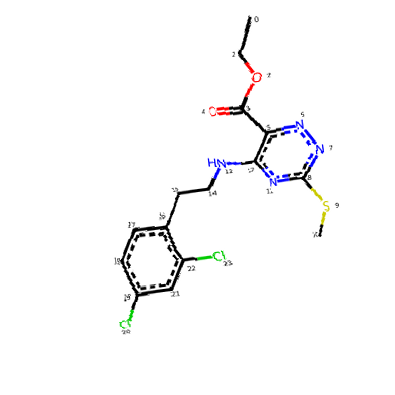 CCOC(=O)c1nnc(SC)nc1NCCc1ccc(Cl)cc1Cl